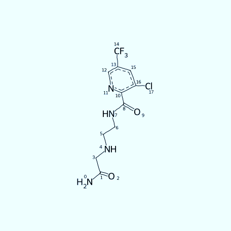 NC(=O)CNCCNC(=O)c1ncc(C(F)(F)F)cc1Cl